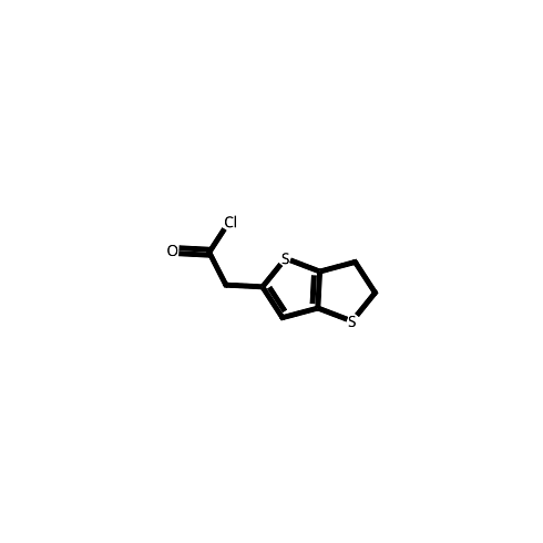 O=C(Cl)Cc1cc2c(s1)CCS2